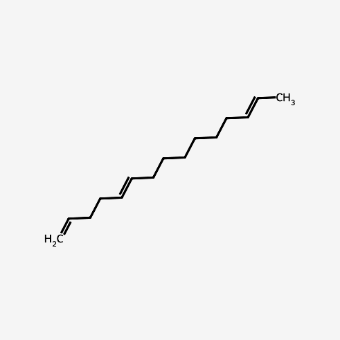 C=CCCC=CCCCCCCC=CC